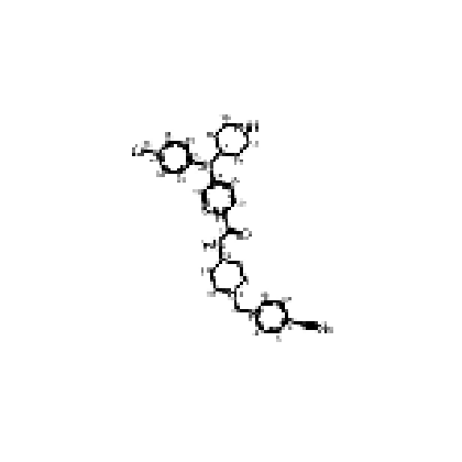 N#Cc1ccc(CN2CCC(NC(=O)c3ccc(N(c4ccc(Cl)cc4)C4CCNCC4)cn3)CC2)cc1